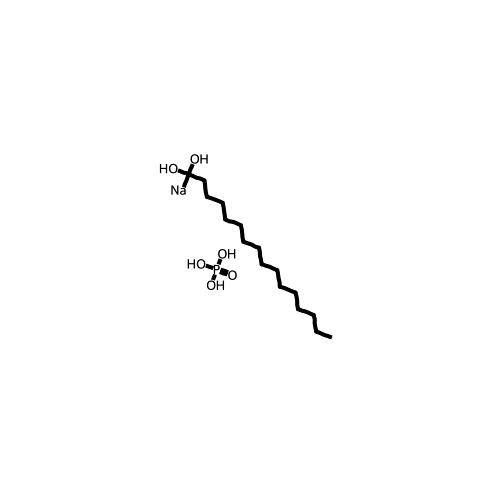 CCCCCCCCCCCCCCC[C](O)(O)[Na].O=P(O)(O)O